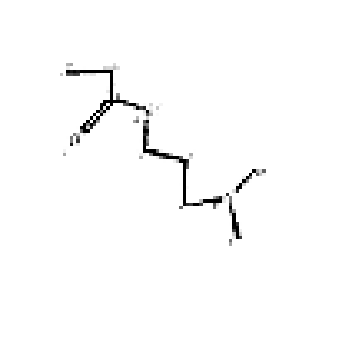 [CH2]CC(=O)NCCCN(C)C